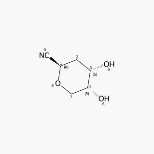 N#C[C@H]1C[C@H](O)[C@H](O)CO1